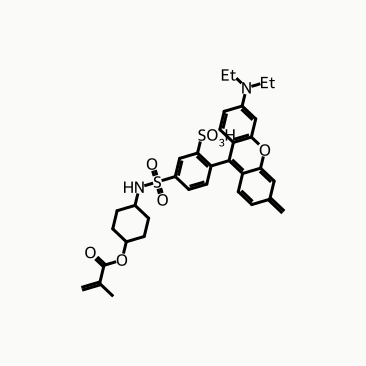 C=C(C)C(=O)OC1CCC(NS(=O)(=O)c2ccc(C3=c4ccc(=C)cc4Oc4cc(N(CC)CC)ccc43)c(S(=O)(=O)O)c2)CC1